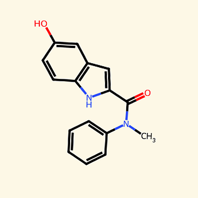 CN(C(=O)c1cc2cc(O)ccc2[nH]1)c1ccccc1